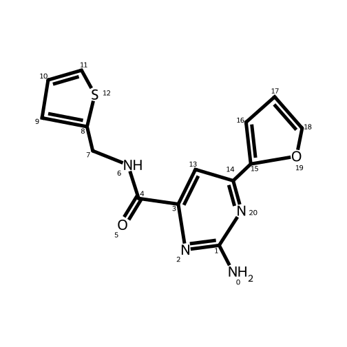 Nc1nc(C(=O)NCc2cccs2)cc(-c2ccco2)n1